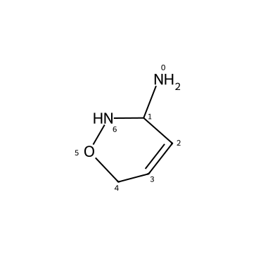 NC1C=CCON1